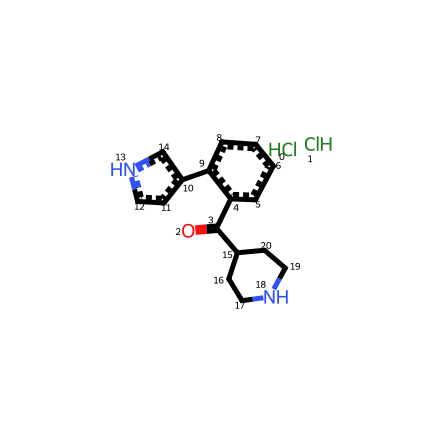 Cl.Cl.O=C(c1ccccc1-c1cc[nH]c1)C1CCNCC1